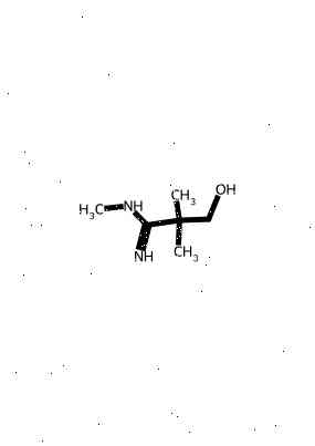 CNC(=N)C(C)(C)CO